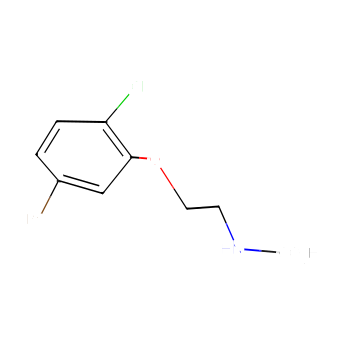 O=C(O)NCCOc1cc(Br)ccc1Cl